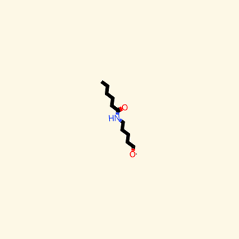 CCCCCC(=O)NCCCCC[O]